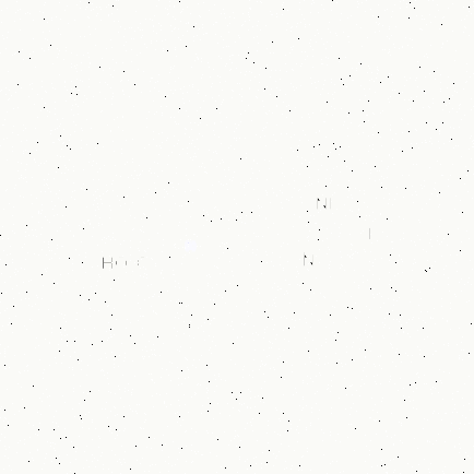 O=C(O)/C=C/c1ccc2[nH]c(I)nc2c1